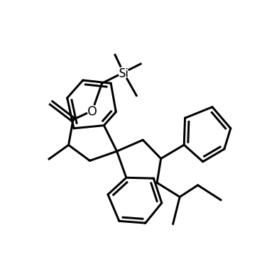 C=C(OC[Si](C)(C)C)C(C)CC(CC(CC(C)CC)c1ccccc1)(c1ccccc1)c1ccccc1